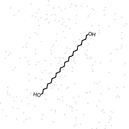 OCCCCCCCCCCCCCCCCCCCCCCO